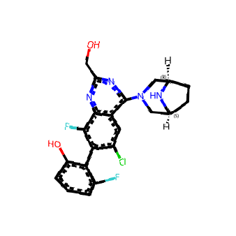 OCc1nc(N2C[C@H]3CC[C@@H](C2)N3)c2cc(Cl)c(-c3c(O)cccc3F)c(F)c2n1